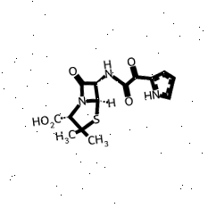 CC1(C)S[C@@H]2[C@H](NC(=O)C(=O)c3ccc[nH]3)C(=O)N2[C@H]1C(=O)O